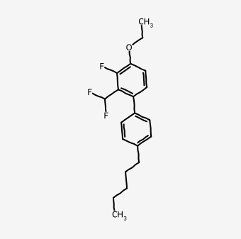 CCCCCc1ccc(-c2ccc(OCC)c(F)c2C(F)F)cc1